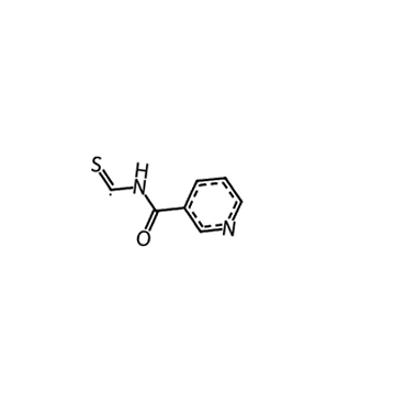 O=C(N[C]=S)c1cccnc1